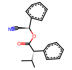 CC(C)[C@H](C(=O)O[C@@H](C#N)c1ccccc1)c1ccccc1